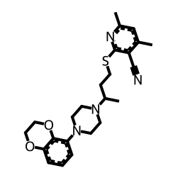 Cc1cc(C)c(C#N)c(SCCC(C)N2CCN(c3cccc4c3OCCO4)CC2)n1